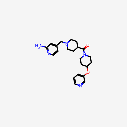 Nc1cc(CN2CCC(C(=O)N3CCC(Oc4cccnc4)CC3)CC2)ccn1